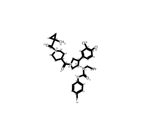 CC(C)CN(C(=O)Oc1ccc(F)cc1)[C@@H]1CN(C(=O)C2CCN(C(=O)C3(C)CC3)CC2)CC1c1ccc(Cl)c(Cl)c1